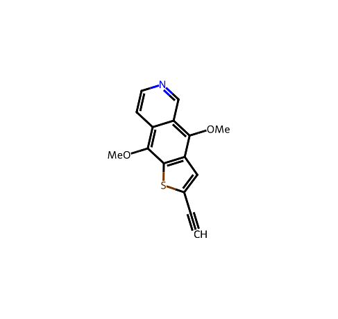 C#Cc1cc2c(OC)c3cnccc3c(OC)c2s1